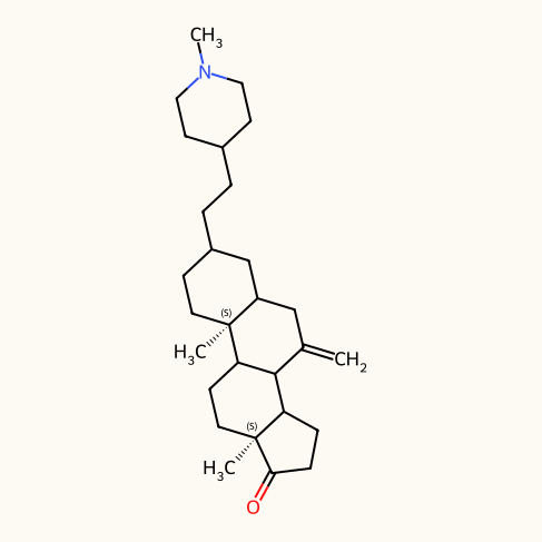 C=C1CC2CC(CCC3CCN(C)CC3)CC[C@]2(C)C2CC[C@]3(C)C(=O)CCC3C12